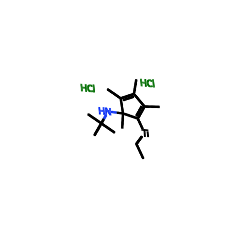 C[CH2][Ti][C]1=C(C)C(C)=C(C)C1(C)NC(C)(C)C.Cl.Cl